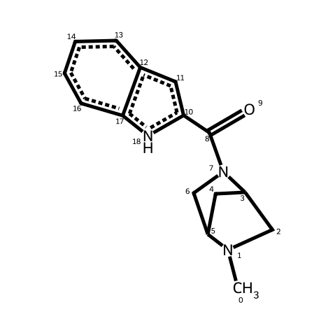 CN1CC2CC1CN2C(=O)c1cc2ccccc2[nH]1